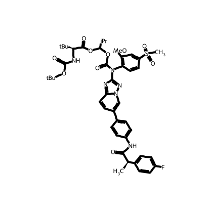 COc1cc(S(C)(=O)=O)ccc1N(C(=O)OC(OC(=O)[C@@H](NC(=O)OC(C)(C)C)C(C)(C)C)C(C)C)c1nc2ccc(-c3ccc(NC(=O)[C@H](C)c4ccc(F)cc4)cc3)cn2n1